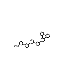 Oc1cccc(-c2cccc(C3=CC(c4cccc(-c5ccc6c7ccccc7c7ccccc7c6c5)c4)CC=C3)c2)c1